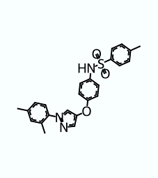 Cc1ccc(S(=O)(=O)Nc2ccc(Oc3cnn(-c4ccc(C)cc4C)c3)cc2)cc1